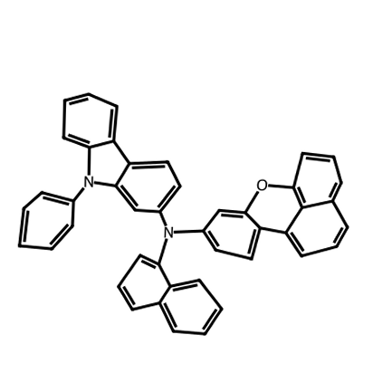 c1ccc(-n2c3ccccc3c3ccc(N(c4ccc5c(c4)Oc4cccc6cccc-5c46)c4cccc5ccccc45)cc32)cc1